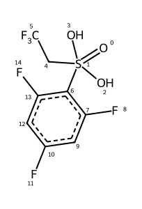 O=S(O)(O)(CC(F)(F)F)c1c(F)cc(F)cc1F